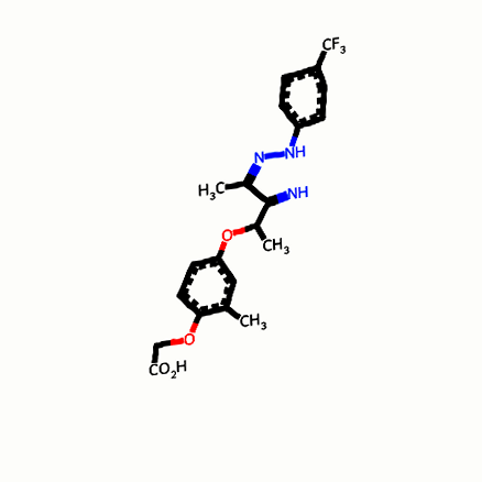 C/C(=N/Nc1ccc(C(F)(F)F)cc1)C(=N)C(C)Oc1ccc(OCC(=O)O)c(C)c1